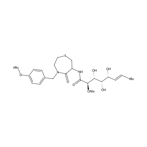 CCCCOc1ccc(CN2CCSCC(NC(=O)[C@H](OC)[C@H](O)[C@@H](O)[C@H](O)/C=C/C(C)(C)C)C2=O)cc1